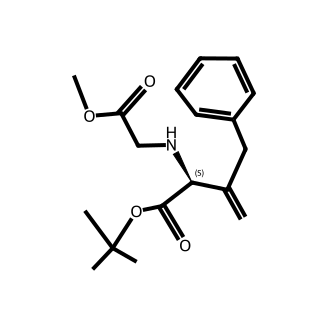 C=C(Cc1ccccc1)[C@H](NCC(=O)OC)C(=O)OC(C)(C)C